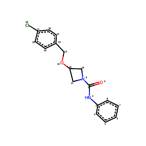 O=C(Nc1ccccc1)N1CC(OCc2ccc(Cl)cc2)C1